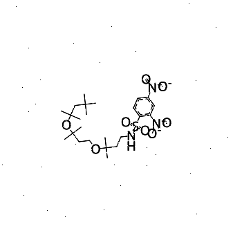 CC(C)(C)CC(C)(C)OC(C)(C)CCOC(C)(C)CCNS(=O)(=O)c1ccc([N+](=O)[O-])cc1[N+](=O)[O-]